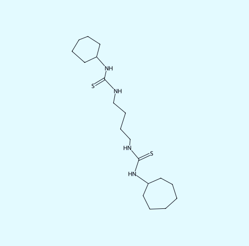 S=C(NCCCCNC(=S)NC1CCCCC1)NC1CCCCCC1